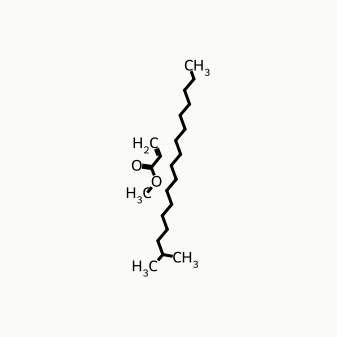 C=CC(=O)OC.CCCCCCCCCCCCCCCC(C)C